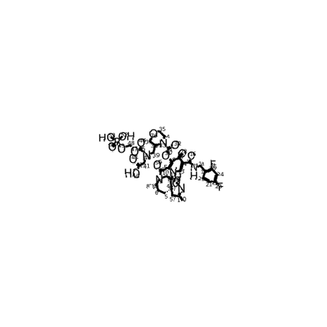 CC1=NO[C@@]2(CC[C@H](C)N3C[C@H]2n2cc(C(=O)NCc4ccc(F)cc4F)c(=O)c(OC(=O)N4CCOCC4CN(CC(=O)O)C(=O)OCOP(=O)(O)O)c2C3=O)C1